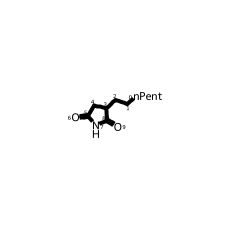 CCCCCCCC1CC(=O)NC1=O